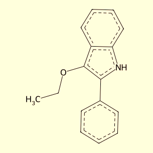 CCOc1c(-c2ccccc2)[nH]c2ccccc12